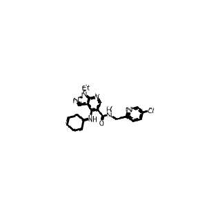 CCn1ncc2c(NC3CCCCC3)c(C(=O)NCc3ccc(Cl)cn3)cnc21